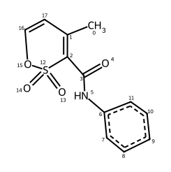 CC1=C(C(=O)Nc2ccccc2)S(=O)(=O)OC=C1